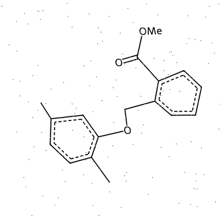 COC(=O)c1ccccc1COc1cc(C)ccc1C